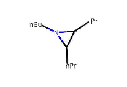 CCCCN1C(CCC)C1C(C)C